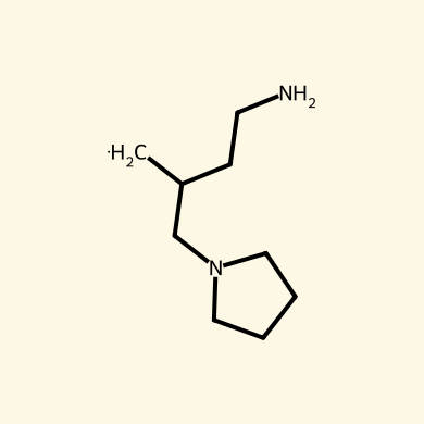 [CH2]C(CCN)CN1CCCC1